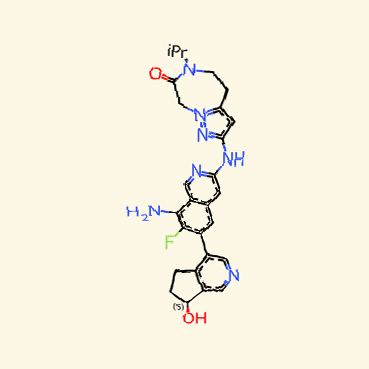 CC(C)N1CCc2cc(Nc3cc4cc(-c5cncc6c5CC[C@@H]6O)c(F)c(N)c4cn3)nn2CC1=O